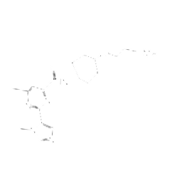 COCCO[C@H]1CC[C@H](NC(=O)c2cc(C)nc(-c3cncn3C)n2)CC1